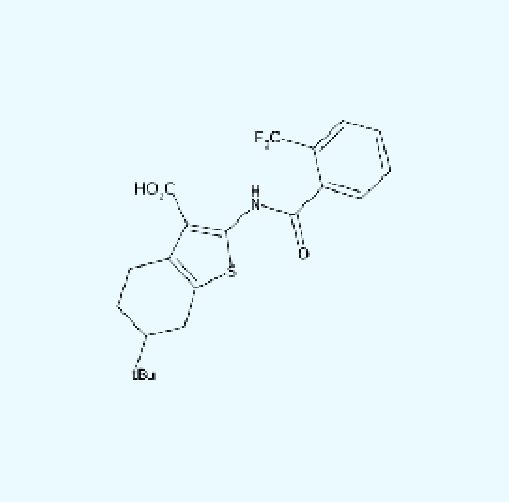 CC(C)(C)C1CCc2c(sc(NC(=O)c3ccccc3C(F)(F)F)c2C(=O)O)C1